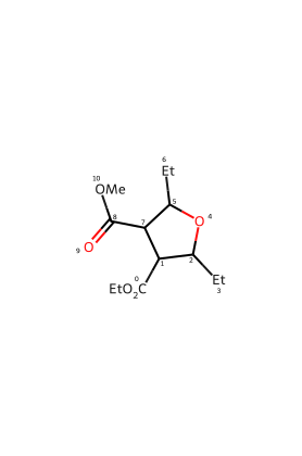 CCOC(=O)C1C(CC)OC(CC)C1C(=O)OC